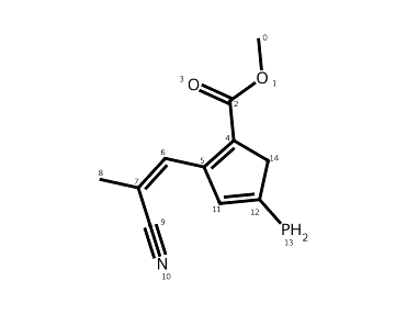 COC(=O)C1=C(/C=C(/C)C#N)C=C(P)C1